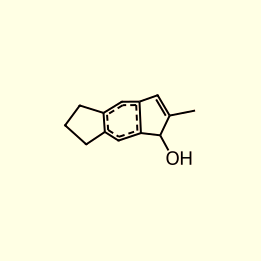 CC1=Cc2cc3c(cc2C1O)CCC3